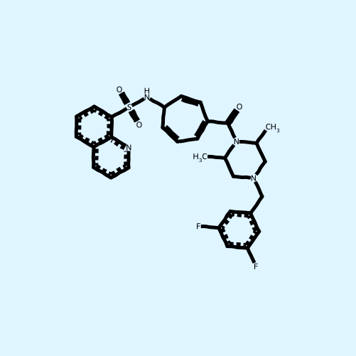 CC1CN(Cc2cc(F)cc(F)c2)CC(C)N1C(=O)C1=CC=CC(NS(=O)(=O)c2cccc3cccnc23)C=C1